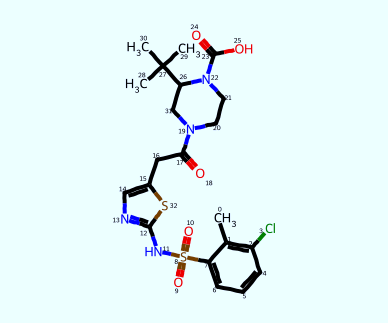 Cc1c(Cl)cccc1S(=O)(=O)Nc1ncc(CC(=O)N2CCN(C(=O)O)C(C(C)(C)C)C2)s1